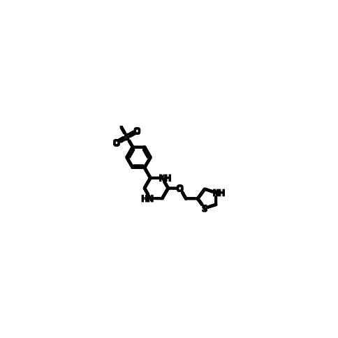 CS(=O)(=O)c1ccc(C2CNCC(OCC3CNCS3)N2)cc1